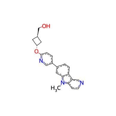 Cn1c2ccncc2c2ccc(-c3ccc(O[C@H]4C[C@H](CO)C4)nc3)cc21